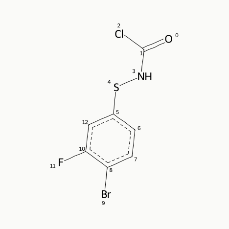 O=C(Cl)NSc1ccc(Br)c(F)c1